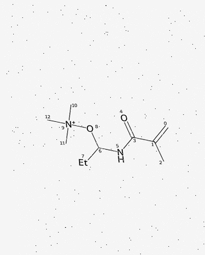 C=C(C)C(=O)NC(CC)O[N+](C)(C)C